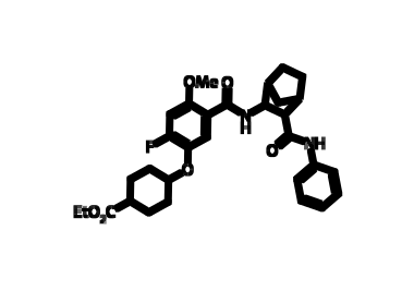 CCOC(=O)C1CCC(Oc2cc(C(=O)NC3C4CCC(C4)C3C(=O)Nc3ccccc3)c(OC)cc2F)CC1